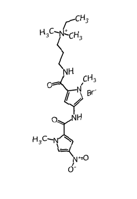 CC[N+](C)(C)CCCNC(=O)c1cc(NC(=O)c2cc([N+](=O)[O-])cn2C)cn1C.[Br-]